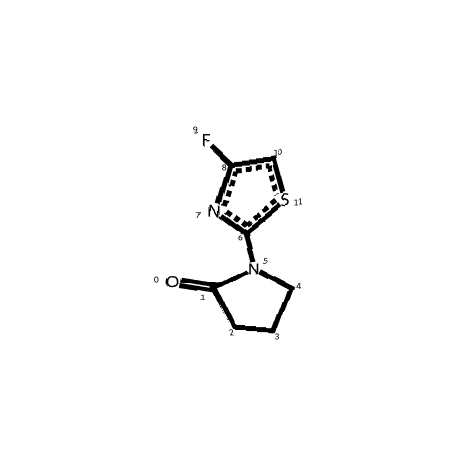 O=C1CCCN1c1nc(F)cs1